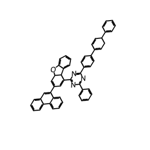 C1=CC(c2ccccc2)CC=C1c1ccc(-c2nc(C3=CC(c4cc5ccccc5c5ccccc45)=CC4Oc5ccccc5C34)nc(-c3ccccc3)n2)cc1